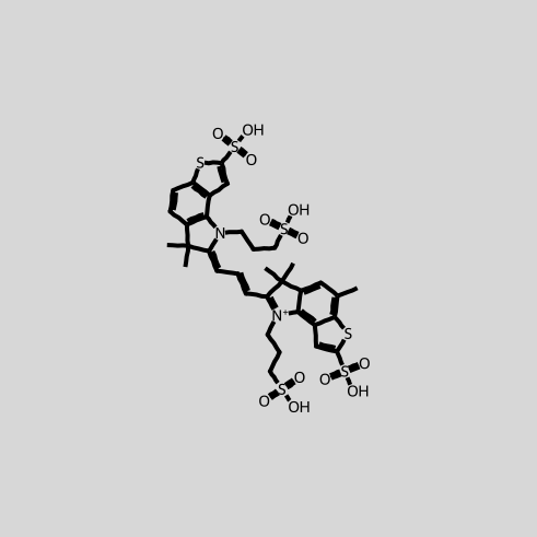 Cc1cc2c(c3cc(S(=O)(=O)O)sc13)[N+](CCCS(=O)(=O)O)=C(/C=C/C=C1\N(CCCS(=O)(=O)O)c3c(ccc4sc(S(=O)(=O)O)cc34)C1(C)C)C2(C)C